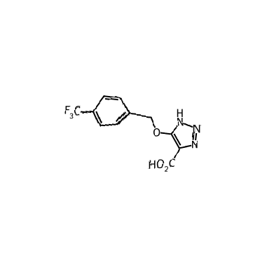 O=C(O)c1nn[nH]c1OCc1ccc(C(F)(F)F)cc1